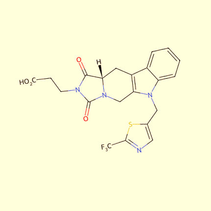 O=C(O)CCN1C(=O)[C@@H]2Cc3c(n(Cc4cnc(C(F)(F)F)s4)c4ccccc34)CN2C1=O